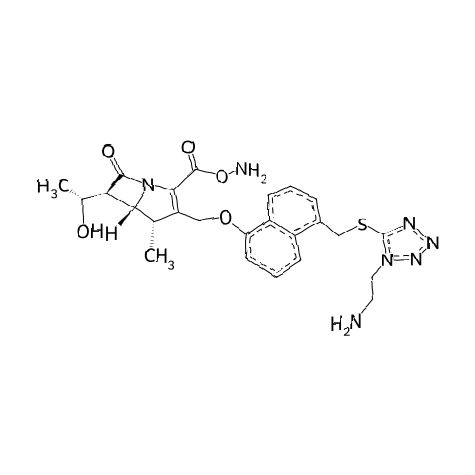 C[C@@H](O)[C@H]1C(=O)N2C(C(=O)ON)=C(COc3cccc4c(CSc5nnnn5CCN)cccc34)[C@H](C)[C@H]12